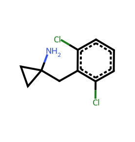 NC1(Cc2c(Cl)cccc2Cl)CC1